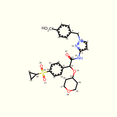 O=C(O)c1ccc(Cn2ccc(NC(=O)C(OC3CCOCC3)c3ccc(S(=O)(=O)C4CC4)cc3)n2)cc1